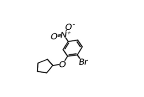 O=[N+]([O-])c1ccc(Br)c(OC2CCCC2)c1